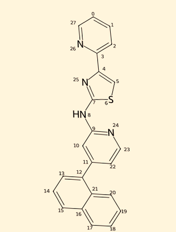 c1ccc(-c2csc(Nc3cc(-c4cccc5ccccc45)ccn3)n2)nc1